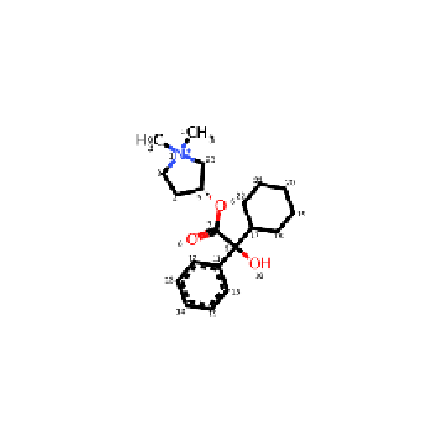 C[N+]1(C)CC[C@@H](OC(=O)C(O)(c2ccccc2)C2CCCCC2)C1